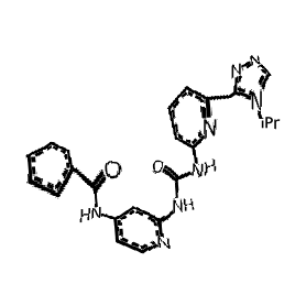 CC(C)n1cnnc1-c1cccc(NC(=O)Nc2cc(NC(=O)c3ccccc3)ccn2)n1